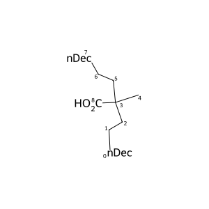 CCCCCCCCCCCCC(C)(CCCCCCCCCCCC)C(=O)O